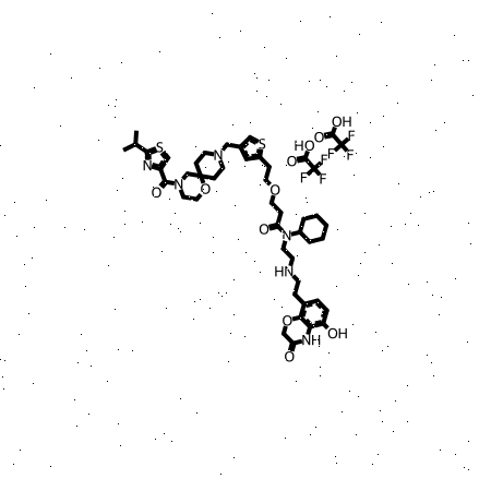 CC(C)c1nc(C(=O)N2CCOC3(CCN(Cc4csc(CCOCCC(=O)N(CCNCCc5ccc(O)c6c5OCC(=O)N6)C5CCCCC5)c4)CC3)C2)cs1.O=C(O)C(F)(F)F.O=C(O)C(F)(F)F